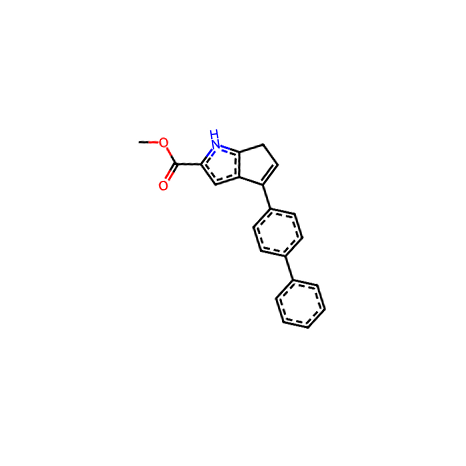 COC(=O)c1cc2c([nH]1)CC=C2c1ccc(-c2ccccc2)cc1